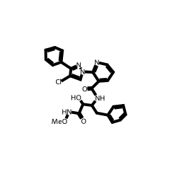 CONC(=O)C(O)C(Cc1ccccc1)NC(=O)c1cccnc1-n1cc(Cl)c(-c2ccccc2)n1